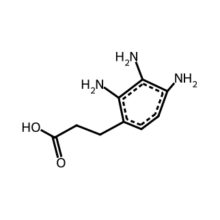 Nc1ccc(CCC(=O)O)c(N)c1N